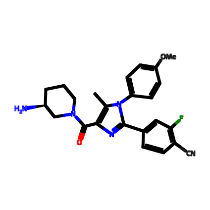 COc1ccc(-n2c(-c3ccc(C#N)c(F)c3)nc(C(=O)N3CCC[C@H](N)C3)c2C)cc1